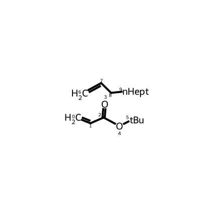 C=CC(=O)OC(C)(C)C.C=CCCCCCCCC